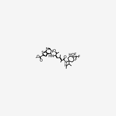 CCC(C)C1(NC(=O)/C(C)=C(C)/C=C(/Nc2ncnc3sc(C(=O)OC)cc23)C(C)=O)CCC(O)(C(F)(F)F)CC1